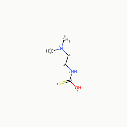 CN(C)CCNC(O)=S